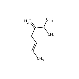 C=C(CC=CC)C(C)C